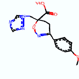 COc1ccc(C2=NOC(Cn3cncn3)(C(=O)O)C2)cc1